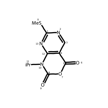 CSc1ncc2c(=O)oc(=O)n(C(C)C)c2n1